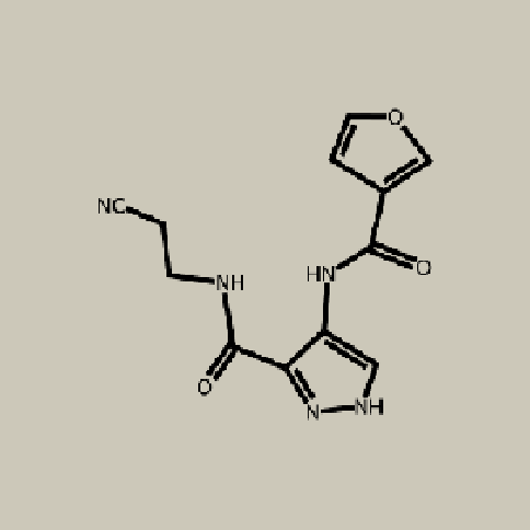 N#CCCNC(=O)c1n[nH]cc1NC(=O)c1ccoc1